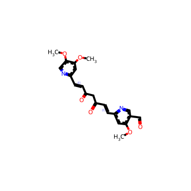 COc1cc(/C=C/C(=O)CC(=O)/C=C/c2cc(OC)c(OC)cn2)ncc1C=O